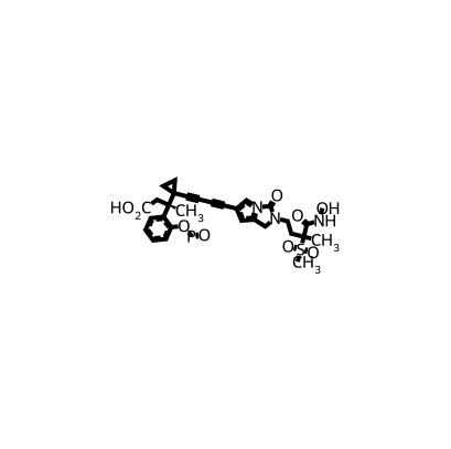 CC(CCN1Cc2cc(C#CC#CC3([C@@](C)(CC(=O)O)c4ccccc4OP=O)CC3)cn2C1=O)(C(=O)NO)S(C)(=O)=O